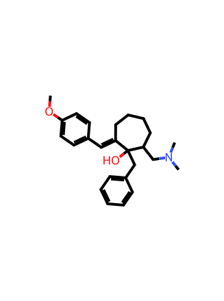 COc1ccc(/C=C2\CCCCC(CN(C)C)C2(O)Cc2ccccc2)cc1